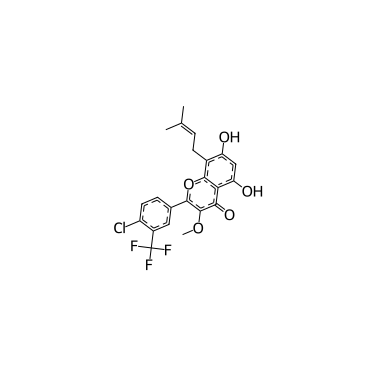 COc1c(-c2ccc(Cl)c(C(F)(F)F)c2)oc2c(CC=C(C)C)c(O)cc(O)c2c1=O